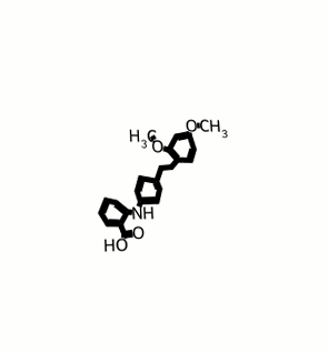 COc1ccc(CCc2ccc(Nc3ccccc3C(=O)O)cc2)c(OC)c1